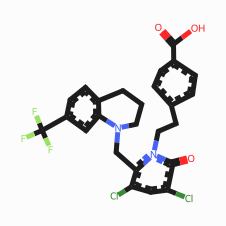 O=C(O)c1ccc(CCn2c(CN3CCCc4ccc(C(F)(F)F)cc43)c(Cl)cc(Cl)c2=O)cc1